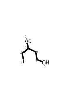 CC(=O)C(CI)CCO